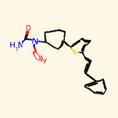 NC(=O)N(O)C1C=C(c2ccc(C=Cc3ccccc3)s2)CC1